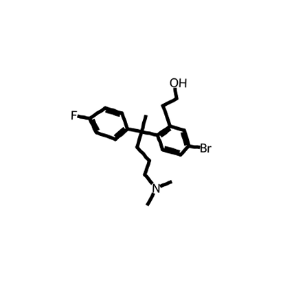 CN(C)CCCC(C)(c1ccc(F)cc1)c1ccc(Br)cc1CCO